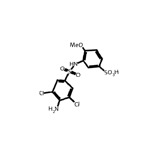 COc1ccc(S(=O)(=O)O)cc1NS(=O)(=O)c1cc(Cl)c(N)c(Cl)c1